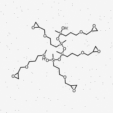 C[SiH](CCCOCC1CO1)O[Si](C)(CCCOCC1CO1)O[Si](C)(CCCOCC1CO1)O[Si](C)(CCCOCC1CO1)O[Si](C)(O)CCCOCC1CO1